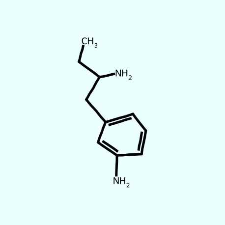 CCC(N)Cc1cccc(N)c1